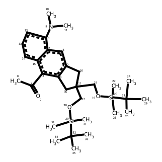 CC(=O)c1c2c(cc3c(N(C)C)cccc13)CC(CO[Si](C)(C)C(C)(C)C)(CO[Si](C)(C)C(C)(C)C)C2